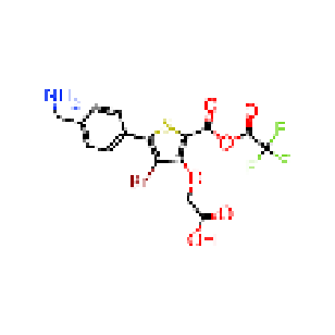 NCc1ccc(-c2sc(C(=O)OC(=O)C(F)(F)F)c(OCC(=O)O)c2Br)cc1